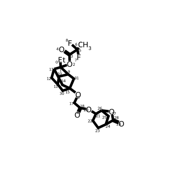 CCC1(OC(=O)C(C)(F)F)C2CC3CC1CC(OCC(=O)OC1CCC4CC1OC4=O)(C3)C2